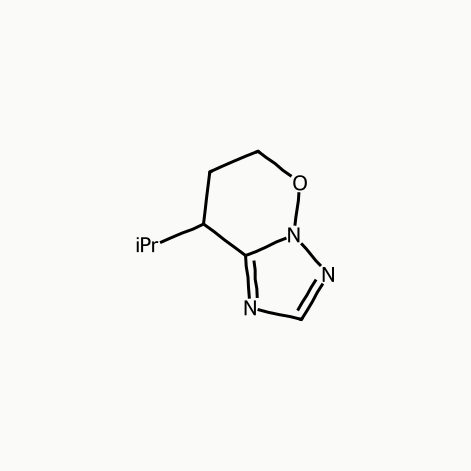 CC(C)C1CCOn2ncnc21